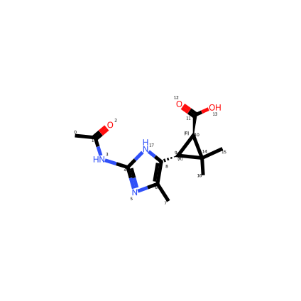 CC(=O)Nc1nc(C)c([C@@H]2[C@@H](C(=O)O)C2(C)C)[nH]1